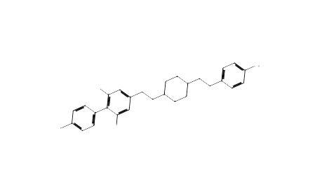 CCCCc1ccc(CCC2CCC(CCc3cc(F)c(-c4ccc(Cl)cc4)c(F)c3)CC2)cc1